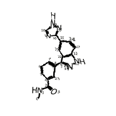 CNC(=O)c1cccc(-c2n[nH]c3ccc(-c4nc[nH]n4)cc23)c1